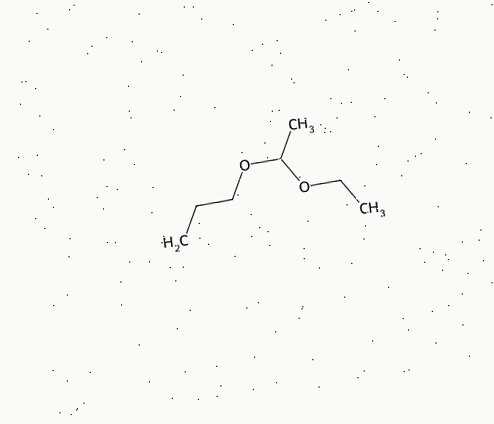 [CH2]CCOC(C)OCC